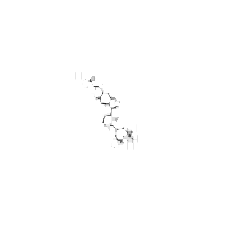 CC(C)(O)/C=C/c1cc2[nH]cc(-c3ccnc(C4CC(C)(C)NC(C)(C)C4)n3)c2cc1F